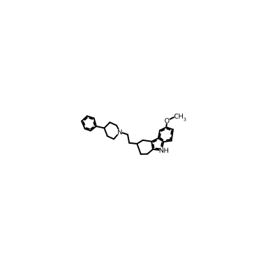 COc1ccc2[nH]c3c(c2c1)CC(CCN1CCC(c2ccccc2)CC1)CC3